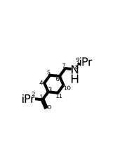 C=C(C(C)C)C1CCC(CNC(C)C)CC1